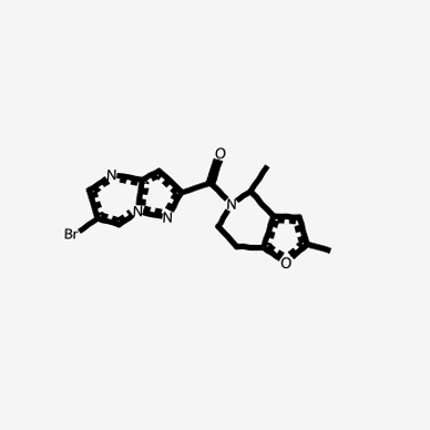 Cc1cc2c(o1)CCN(C(=O)c1cc3ncc(Br)cn3n1)C2C